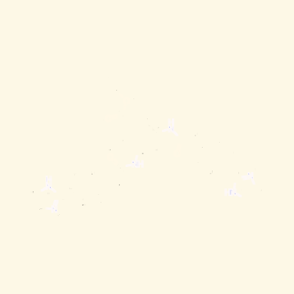 CC(C)(C)OC(=O)c1cc(NC(=O)Cc2ccc(C3=NCCN3)cc2)cc(NC(=O)Cc2ccc(C3=NCCN3)cc2)c1